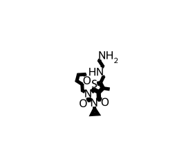 Cc1c(CNCCN)sc2c1c(=O)n(C1CC1)c(=O)n2CC1CCCO1